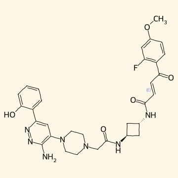 COc1ccc(C(=O)/C=C/C(=O)N[C@H]2C[C@H](NC(=O)CN3CCN(c4cc(-c5ccccc5O)nnc4N)CC3)C2)c(F)c1